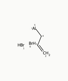 Br.Br.C=C[CH2][Al]